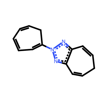 C1=CC=C(n2nc3c(n2)C=CCC=C3)CC=C1